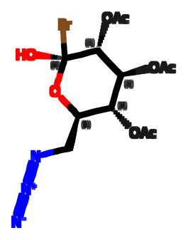 CC(=O)O[C@H]1[C@H](OC(C)=O)[C@@H](CN=[N+]=[N-])O[C@@](O)(Br)[C@@H]1OC(C)=O